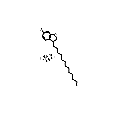 CCCCCCCCCCCCCC1COc2cc(O)ccc21.CN.CN.CN